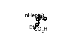 CCCCCCCN(C(=O)Nc1ccccc1)c1cccc(Sc2ccc(C(CC)C(=O)O)cc2)c1